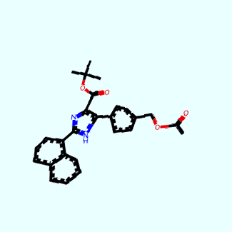 CC(=O)OCc1ccc(-c2[nH]c(-c3cccc4ccccc34)nc2C(=O)OC(C)(C)C)cc1